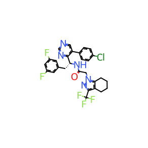 O=C(Cn1nc(C(F)(F)F)c2c1CCCC2)N[C@H](Cc1cc(F)cc(F)c1)c1ncncc1-c1ccc(Cl)cc1